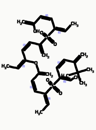 C=C(O)/C=C\C(=C/C)S(=O)(=O)C(=C)/C=C\C(=C/C)OC(=C)/C=C\C(=C/C)S(=O)(=O)C(/C=C\C(=C)C(C)(C)C)=C/C